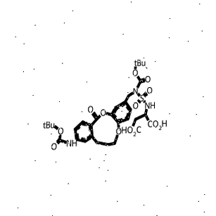 CC(C)(C)OC(=O)Nc1ccc2c(c1)CCCOc1ccc(CN(C(=O)OC(C)(C)C)S(=O)(=O)NC(CC(=O)O)C(=O)O)cc1OC2=O